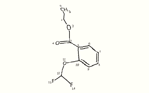 CCOC(=O)c1ccccc1OC(F)F